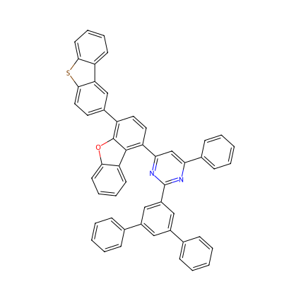 c1ccc(-c2cc(-c3ccccc3)cc(-c3nc(-c4ccccc4)cc(-c4ccc(-c5ccc6sc7ccccc7c6c5)c5oc6ccccc6c45)n3)c2)cc1